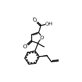 C=CCc1ccccc1C1(C)OC(C(=O)O)=CC1=O